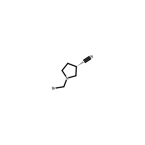 N#C[C@H]1CCN(CBr)C1